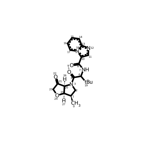 C[C@@H]1CN(C(=O)C(NC(=O)c2cnc3ccccn23)C(C)(C)C)[C@@H]2C(=O)CO[C@H]12